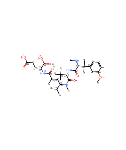 CN[C@H](C(=O)N[C@H](C(=O)N(C)[C@H](/C=C(\C)C(=O)N[C@H](CCC(=O)O)C(=O)O)C(C)C)C(C)(C)C)C(C)(C)c1cccc(OC)c1